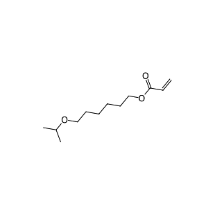 C=CC(=O)OCCCCCCOC(C)C